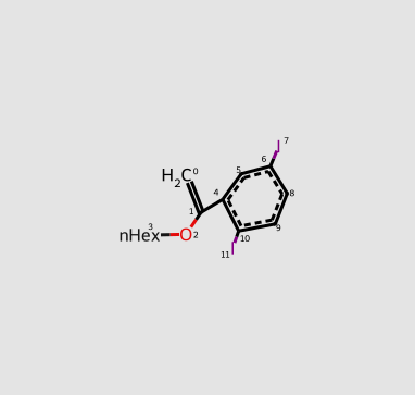 C=C(OCCCCCC)c1cc(I)ccc1I